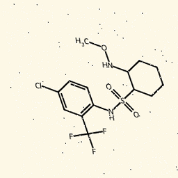 CONC1CCCCC1S(=O)(=O)Nc1ccc(Cl)cc1C(F)(F)F